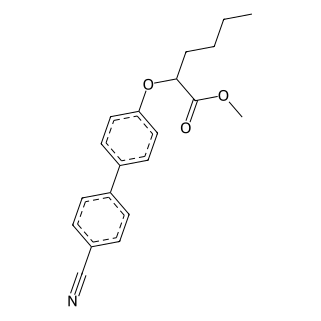 CCCCC(Oc1ccc(-c2ccc(C#N)cc2)cc1)C(=O)OC